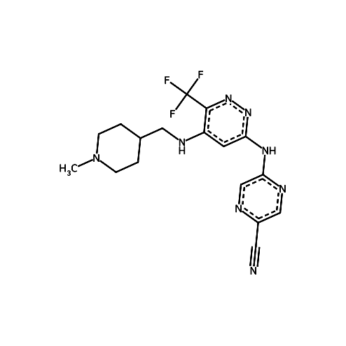 CN1CCC(CNc2cc(Nc3cnc(C#N)cn3)nnc2C(F)(F)F)CC1